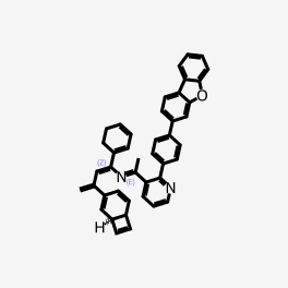 C=C(/C=C(\N=C(/C)c1cccnc1-c1ccc(-c2ccc3c(c2)oc2ccccc23)cc1)C1=CC=CCC1)C1=C[C@@H]2C=CC2C=C1